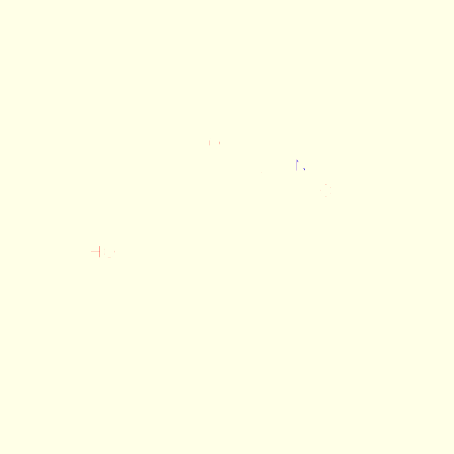 C=C[C@H](O)C/C=C/C(=O)N(C)OC